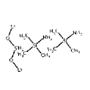 CCO[SiH2]OCC.C[Si](C)(C)N.C[Si](C)(C)N